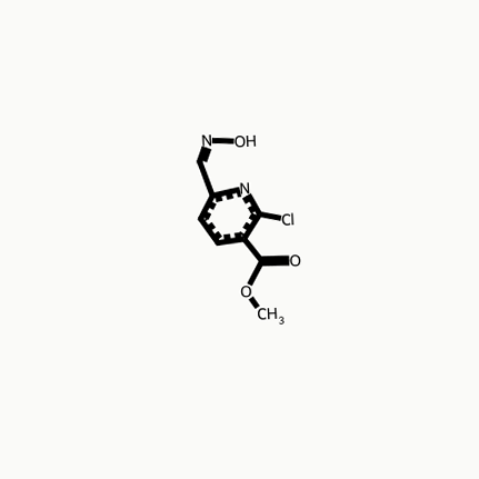 COC(=O)c1ccc(/C=N\O)nc1Cl